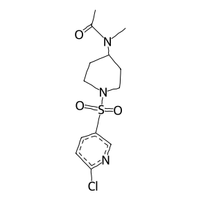 CC(=O)N(C)C1CCN(S(=O)(=O)c2ccc(Cl)nc2)CC1